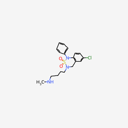 CNCCCCN1Cc2cc(Cl)ccc2N(c2ccccc2)S1(=O)=O